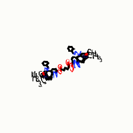 C/C=C1\C2C=C(C)CC1(/N=C/c1ccccc1)c1ccc(OC(=O)CCCC(=O)Oc3ccc4c(n3)CC3C=C(C)CC4(/N=C/c4ccccc4)/C3=C/C)nc1C2